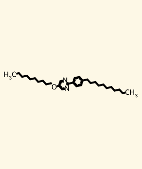 CCCCCCCCCCCc1ccc(-c2ncc(OCCCCCCCCCC)cn2)cc1